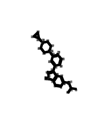 CC(C)Oc1ccc2[nH]nc(-c3ccnc(N4CCN(C5CC5)CC4)c3)c2c1